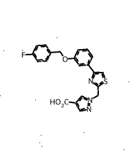 O=C(O)c1cnn(Cc2nc(-c3cccc(OCc4ccc(F)cc4)c3)cs2)c1